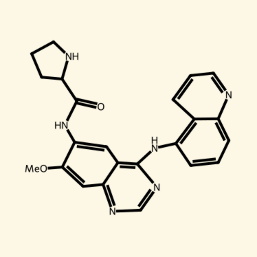 COc1cc2ncnc(Nc3cccc4ncccc34)c2cc1NC(=O)C1CCCN1